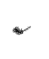 CCCCCCCCCSC(C)(C)C(=O)CC(=O)Nc1ccccc1Cl